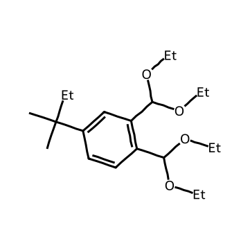 CCOC(OCC)c1ccc(C(C)(C)CC)cc1C(OCC)OCC